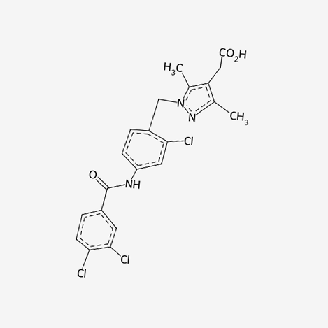 Cc1nn(Cc2ccc(NC(=O)c3ccc(Cl)c(Cl)c3)cc2Cl)c(C)c1CC(=O)O